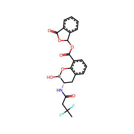 CC(F)(F)CC(=O)N[C@H]1Cc2cccc(C(=O)OC3OC(=O)c4ccccc43)c2OB1O